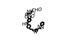 NC(=O)C(CCC=O)N1C(=O)c2ccc(NC3CCC(CCCn4cc(-c5cnc6ccccc6n5)cn4)CC3)cc2C1=O